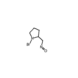 O=NCC1CCCN1Br